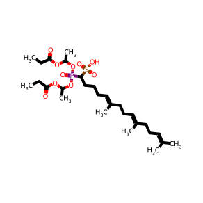 CCC(=O)OC(C)OP(=O)(OC(C)OC(=O)CC)C(CCC/C=C(\C)CC/C=C(\C)CCC=C(C)C)S(=O)(=O)O